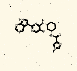 Cn1cnc(C(=O)N[C@H]2CCC[C@@H](Nc3nc(-c4c[nH]c5ncncc45)ncc3F)C2)c1